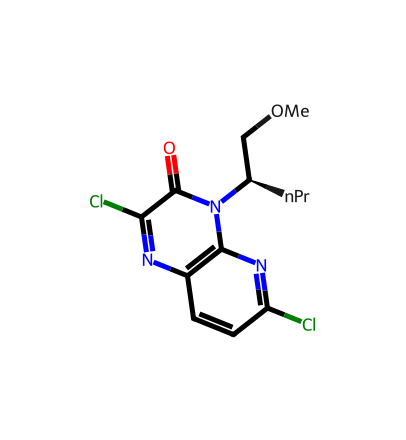 CCC[C@H](COC)n1c(=O)c(Cl)nc2ccc(Cl)nc21